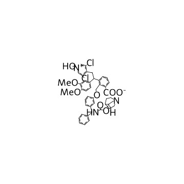 COc1ccc(C(Cc2c(Cl)c[n+](O)cc2Cl)c2cccc(C(=O)[O-])c2COc2cccc(C(NC(=O)O[C@H]3CN4CCC3CC4)c3ccccc3)c2)cc1OC